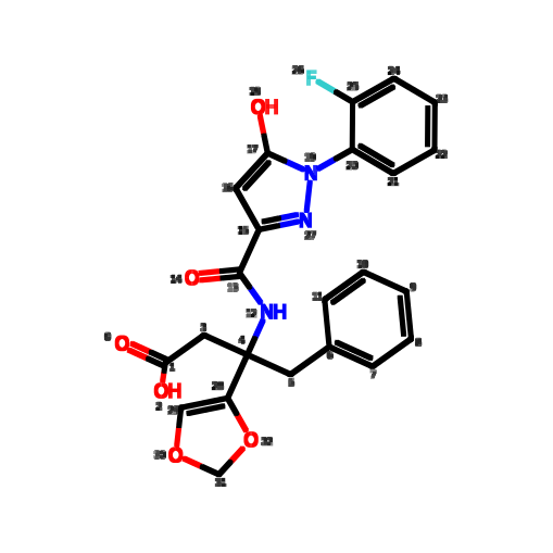 O=C(O)CC(Cc1ccccc1)(NC(=O)c1cc(O)n(-c2ccccc2F)n1)C1=COCO1